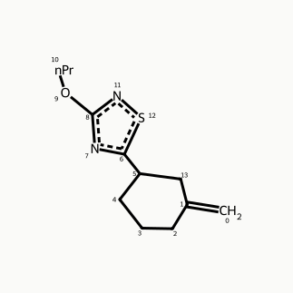 C=C1CCCC(c2nc(OCCC)ns2)C1